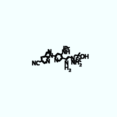 CCC(C)(O)CN(N)/C=C(\N)c1cnc(-n2ncc3cc(C#N)cnc32)cc1NC(C)C